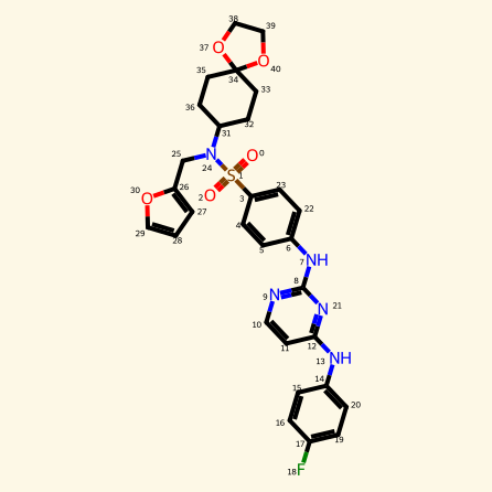 O=S(=O)(c1ccc(Nc2nccc(Nc3ccc(F)cc3)n2)cc1)N(Cc1ccco1)C1CCC2(CC1)OCCO2